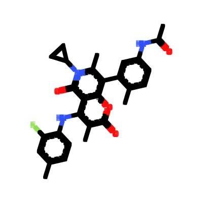 CC(=O)Nc1ccc(C)c(-c2c(C)n(C3CC3)c(=O)c3c(Nc4ccc(C)cc4F)c(C)c(=O)oc23)c1